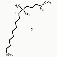 CCCCCCCCCCCCCCCCCCN[N+](C)(C)CCC[SiH2]OC.[Cl-]